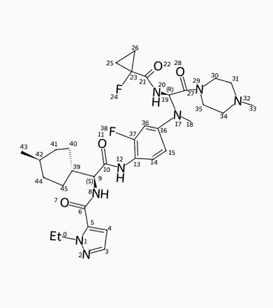 CCn1nccc1C(=O)N[C@H](C(=O)Nc1ccc(N(C)[C@@H](NC(=O)C2(F)CC2)C(=O)N2CCN(C)CC2)cc1F)[C@H]1CC[C@H](C)CC1